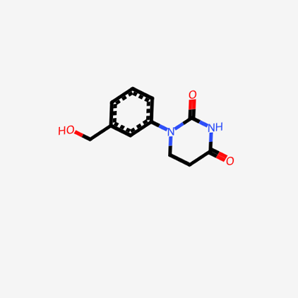 O=C1CCN(c2cccc(CO)c2)C(=O)N1